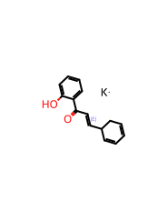 O=C(/C=C/C1C=CC=CC1)c1ccccc1O.[K]